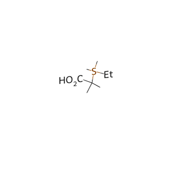 CCS(C)(C)C(C)(C)C(=O)O